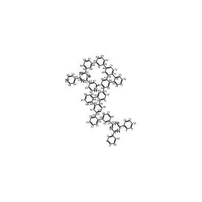 c1ccc(-c2nc(-c3ccccc3)nc(-c3cccc(-c4ccccc4-c4ccc5c6ccc(-c7ccc8c9cc(-c%10cccc(-c%11cccc(-c%12nc(-c%13ccncc%13)nc(-c%13ccncc%13)n%12)c%11)c%10)ccc9c9ccccc9c8c7)cc6c6ccccc6c5c4)c3)n2)cc1